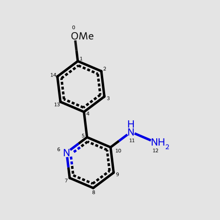 COc1ccc(-c2ncccc2NN)cc1